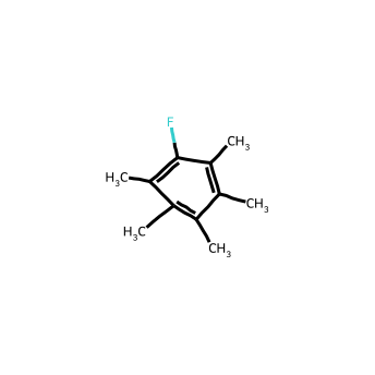 Cc1c(C)c(C)c(F)c(C)c1C